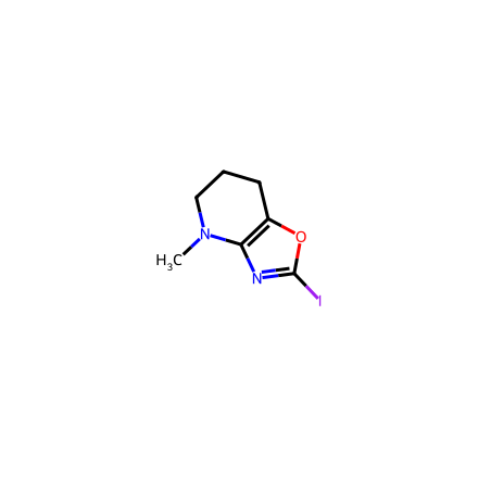 CN1CCCc2oc(I)nc21